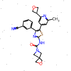 Cc1cc(-c2sc(NC(=O)N3CC4(COC4)C3)nc2-c2cccc(C#N)c2)cc(C2COC2)n1